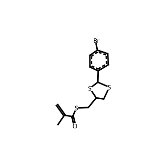 C=C(C)C(=O)SCC1CSC(c2ccc(Br)cc2)S1